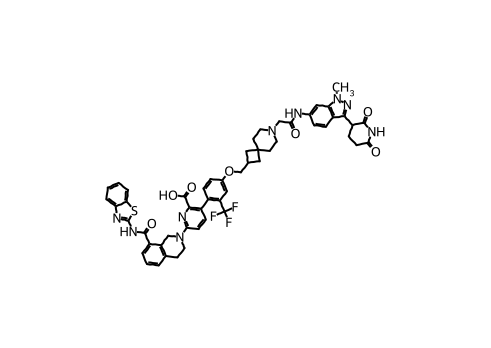 Cn1nc(C2CCC(=O)NC2=O)c2ccc(NC(=O)CN3CCC4(CC3)CC(COc3ccc(-c5ccc(N6CCc7cccc(C(=O)Nc8nc9ccccc9s8)c7C6)nc5C(=O)O)c(C(F)(F)F)c3)C4)cc21